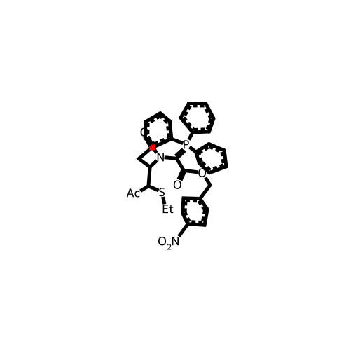 CCSC(C(C)=O)C1CC(=O)N1C(C(=O)OCc1ccc([N+](=O)[O-])cc1)=P(c1ccccc1)(c1ccccc1)c1ccccc1